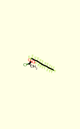 C=C(Cl)C(=O)OC(F)(C(F)(F)F)C(F)(F)C(F)(F)C(F)(F)C(F)(F)C(F)(F)C(F)(F)C(F)(F)C(F)(F)F